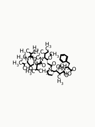 CC[C@H](C)[C@@H]([C@@H](CC(=O)N1CCC[C@H]1[C@H](OC)[C@@H](C)C(=O)N[C@@H](Cc1ccccc1)C(=O)O)OC)N(C)C(=O)[C@@H](NC(=O)[C@H](C(C)C)N(C)C(=O)C(C)C)C(C)C